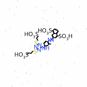 Cc1cc(Nc2nc(SCCCS(=O)(=O)O)nc(SCCCS(=O)(=O)O)n2)ccc1N=Nc1cc(S(=O)(=O)O)c2cccc(S(=O)(=O)O)c2c1